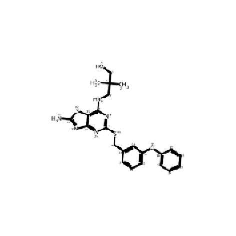 CC(C)(CO)CNc1nc(SCc2cccc(Oc3ccccc3)c2)nc2nc(N)sc12